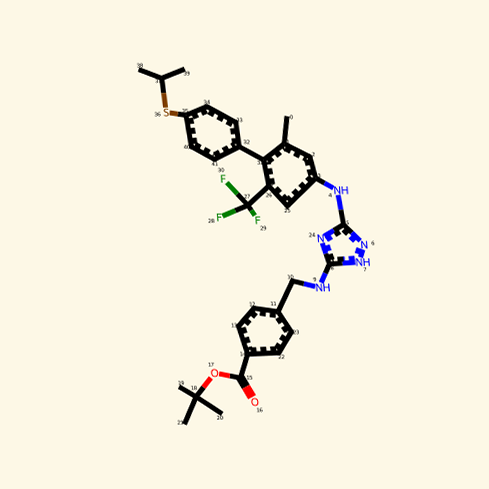 Cc1cc(Nc2n[nH]c(NCc3ccc(C(=O)OC(C)(C)C)cc3)n2)cc(C(F)(F)F)c1-c1ccc(SC(C)C)cc1